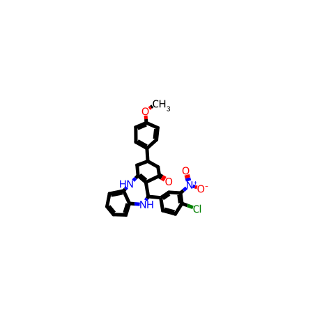 COc1ccc(C2CC(=O)C3=C(C2)Nc2ccccc2NC3c2ccc(Cl)c([N+](=O)[O-])c2)cc1